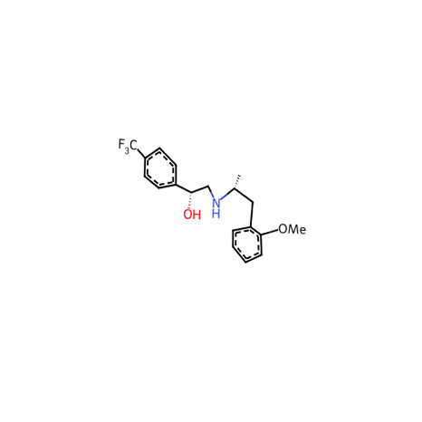 COc1ccccc1C[C@@H](C)NC[C@H](O)c1ccc(C(F)(F)F)cc1